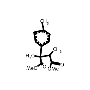 COC(=O)C(C)C(C)(C(=O)OC)c1ccc(C)cc1